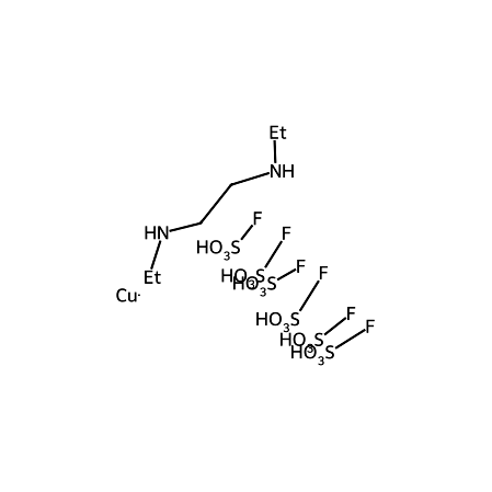 CCNCCNCC.O=S(=O)(O)F.O=S(=O)(O)F.O=S(=O)(O)F.O=S(=O)(O)F.O=S(=O)(O)F.O=S(=O)(O)F.[Cu]